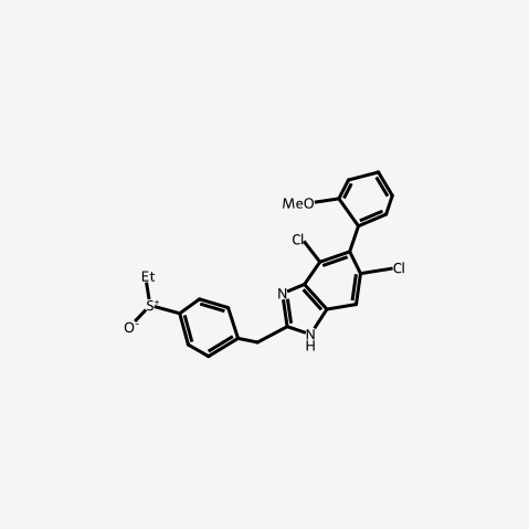 CC[S+]([O-])c1ccc(Cc2nc3c(Cl)c(-c4ccccc4OC)c(Cl)cc3[nH]2)cc1